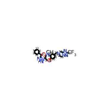 CN1C(=O)[C@@H](n2ncnc2Cc2ccccc2)COc2ccc(CN3CCn4nc(C(F)(F)F)nc4C3)cc21